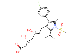 Cc1c(-c2ccc(F)cc2)c(CC[C@@H](O)C[C@@H](O)CC(=O)O)c(C(C)C)n1S(C)(=O)=O